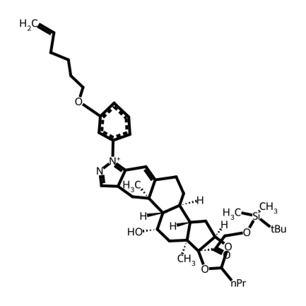 C=CCCCCOc1cccc([N+]2=C3C=C4CC[C@@H]5[C@H]([C@@H](O)C[C@@]6(C)[C@H]5C[C@H]5OC(CCC)O[C@]56C(=O)CO[Si](C)(C)C(C)(C)C)[C@@]4(C)CC3C=N2)c1